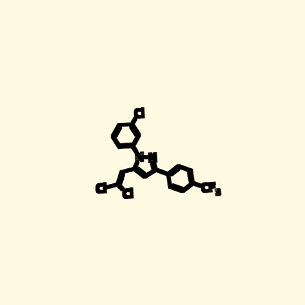 FC(F)(F)c1ccc(-c2cc(C=C(Cl)Cl)n(-c3cccc(Cl)c3)n2)cc1